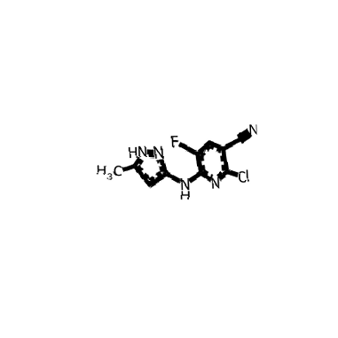 Cc1cc(Nc2nc(Cl)c(C#N)cc2F)n[nH]1